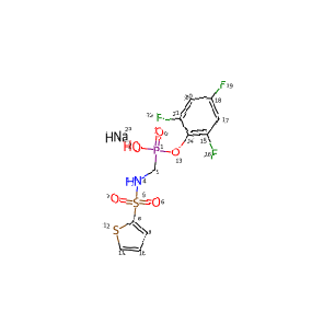 O=P(O)(CNS(=O)(=O)c1cccs1)Oc1c(F)cc(F)cc1F.[NaH]